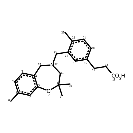 Cc1ccc2c(c1)OC(C)(C)CN(Cc1cc(CCC(=O)O)ccc1C)C2